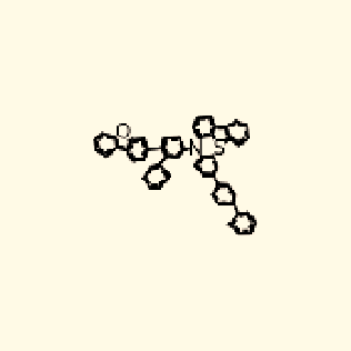 c1ccc(-c2ccc(-c3ccc(N(c4ccc(-c5ccc6c(c5)oc5ccccc56)c(-c5ccccc5)c4)c4cccc5c4sc4ccccc45)cc3)cc2)cc1